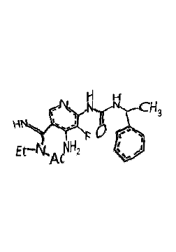 CCN(C(=N)c1cnc(NC(=O)NC(C)c2ccccc2)c(F)c1N)C(C)=O